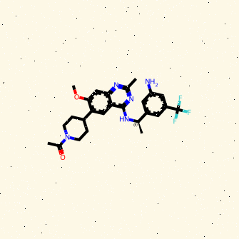 COc1cc2nc(C)nc(N[C@H](C)c3cc(N)cc(C(F)(F)F)c3)c2cc1C1CCN(C(C)=O)CC1